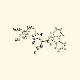 CC[C@H]1O[C@@H](n2cnc3c(N4CC(c5ccccc5)(c5ccccc5)C4)nc(Cl)nc32)C(OC(C)=O)[C@H]1OC(C)=O